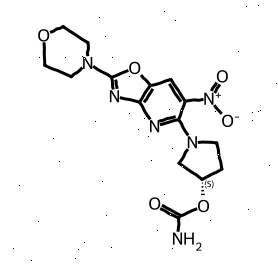 NC(=O)O[C@H]1CCN(c2nc3nc(N4CCOCC4)oc3cc2[N+](=O)[O-])C1